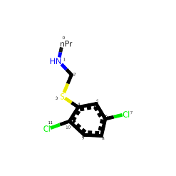 CCCNCSc1cc(Cl)ccc1Cl